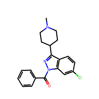 CN1CCC(c2nn(C(=O)c3ccccc3)c3cc(Cl)ccc23)CC1